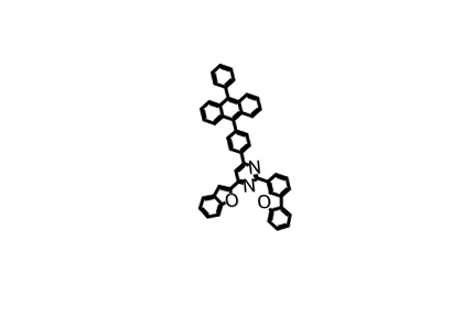 c1ccc(-c2c3ccccc3c(-c3ccc(-c4cc(-c5cc6ccccc6o5)nc(-c5cccc6c5oc5ccccc56)n4)cc3)c3ccccc23)cc1